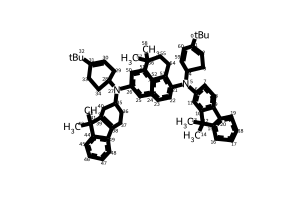 CC(C)(C)C1=CCC(N(c2ccc3c(c2)C(C)(C)c2ccccc2-3)c2ccc3cc(N(C4CC=C(C(C)(C)C)CC4)C4CCC5=C(C4)C(C)(C)c4ccccc45)cc4c3c2CCC4(C)C)C=C1